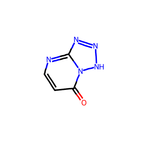 O=c1ccnc2nn[nH]n12